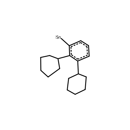 [Sn][c]1cccc(C2CCCCC2)c1C1CCCCC1